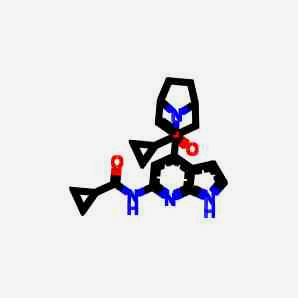 O=C(Nc1cc(C2=CC3CCC(C2)N3C(=O)C2CC2)c2cc[nH]c2n1)C1CC1